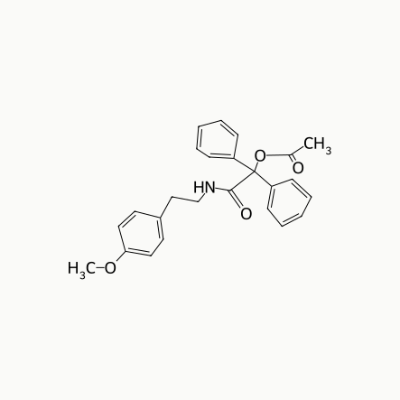 COc1ccc(CCNC(=O)C(OC(C)=O)(c2ccccc2)c2ccccc2)cc1